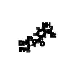 CCOc1cc(C(=O)OC[C@H](CC(C)C)N(CC)CC)ccc1N